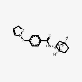 O=C(N[C@@H]1C[C@H]2CC[C@@H]1N2)c1ccc(SN2C=CCO2)cc1